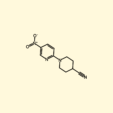 N#CC1CCN(c2ccc([N+](=O)[O-])cn2)CC1